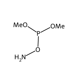 COP(OC)ON